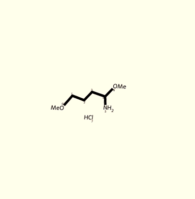 COCCCC(N)OC.Cl